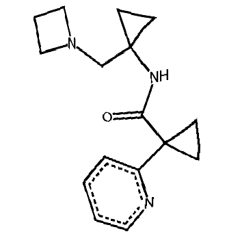 O=C(NC1(CN2CCC2)CC1)C1(c2ccccn2)CC1